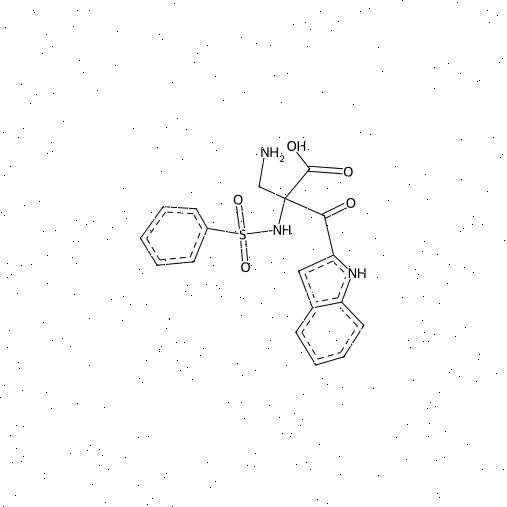 NCC(NS(=O)(=O)c1ccccc1)(C(=O)O)C(=O)c1cc2ccccc2[nH]1